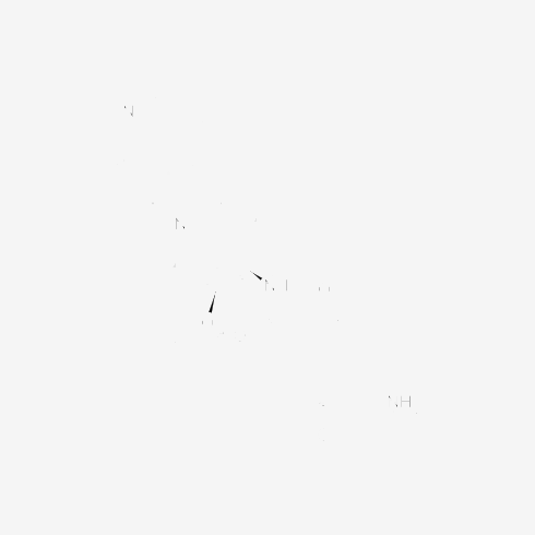 COc1cc(N)c(Cl)cc1C(=O)N[C@@H]1CCN(Cc2cccnc2)C[C@@H]1OC